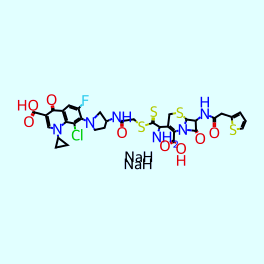 NC(C(=S)SCC(=O)NC1CCN(c2c(F)cc3c(=O)c(C(=O)O)cn(C4CC4)c3c2Cl)C1)C1=C(C(=O)O)N2C(=O)C(NC(=O)Cc3cccs3)C2SC1.[NaH].[NaH]